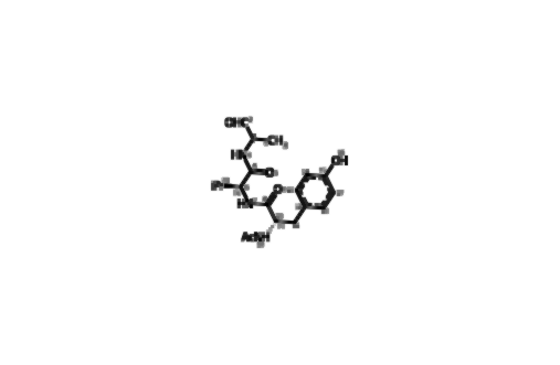 C[C](C=O)NC(=O)[C@@H](NC(=O)[C@H](Cc1ccc(O)cc1)NC(C)=O)C(C)C